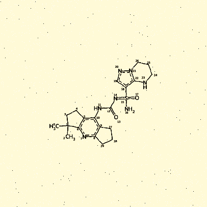 CC1(C)CCc2c1nc1c(c2NC(=O)N=S(N)(=O)c2cnn3c2NCCC3)CCC1